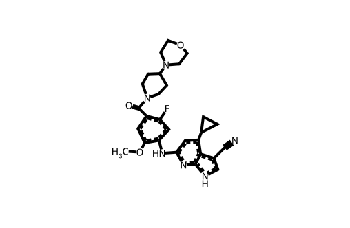 COc1cc(C(=O)N2CCC(N3CCOCC3)CC2)c(F)cc1Nc1cc(C2CC2)c2c(C#N)c[nH]c2n1